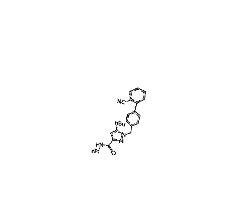 CCCCc1cc(C(=O)NCCC)nn1Cc1ccc(-c2ccccc2C#N)cc1